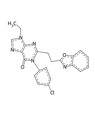 CCn1cnc2c(=O)n(-c3ccc(Cl)cc3)c(CCc3nc4ccccc4o3)nc21